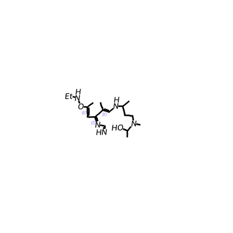 CCNO/C(C)=C/C(=N/C=N)C(/C)=C/NC(C)CCN(C)C(C)O